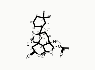 CC(=O)O[C@@H]1O[C@H]2OC(=O)[C@H](C)C34OOC([C@@]5(C)CCCC(C)(C)C5)(CC[C@@H]1C23)O4